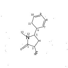 C=C1C(F)CC(C2C=CC=CC2)N1C